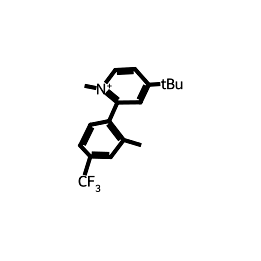 Cc1cc(C(F)(F)F)ccc1-c1cc(C(C)(C)C)cc[n+]1C